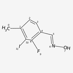 Cc1ccc(C=NO)c(F)c1I